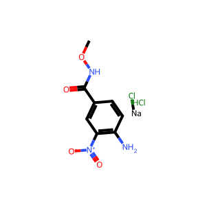 CONC(=O)c1ccc(N)c([N+](=O)[O-])c1.Cl.[Na][Cl]